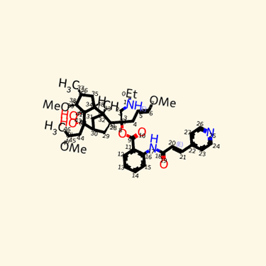 CCNC[C@@](C/C=C/OC)(OC(=O)c1ccccc1NC(=O)/C=C/c1ccncc1)[C@H]1CC2C[C@]1(C)[C@@H]1C[C@H](C)[C@H](OC)[C@]1(O)[C@]2(O)C[C@@H](C)OC